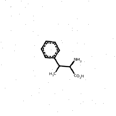 CC(c1ccccc1)C(N)C(=O)O